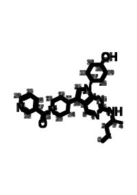 CCC[C@H](C)Nc1ncc2c(C3CCN(C(=O)c4cccnc4)CC3)cn([C@H]3CC[C@H](O)CC3)c2n1